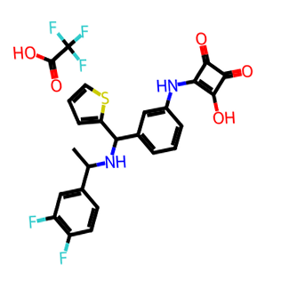 CC(NC(c1cccc(Nc2c(O)c(=O)c2=O)c1)c1cccs1)c1ccc(F)c(F)c1.O=C(O)C(F)(F)F